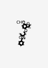 Cc1oc(-c2ccccc2)nc1CCOc1ccc(C=O)c2occc12